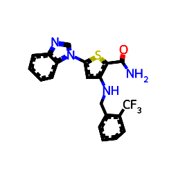 NC(=O)c1sc(-n2cnc3ccccc32)cc1NCc1ccccc1C(F)(F)F